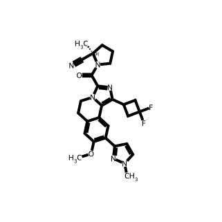 COc1cc2c(cc1-c1ccn(C)n1)-c1c(C3CC(F)(F)C3)nc(C(=O)N3CCC[C@]3(C)C#N)n1CC2